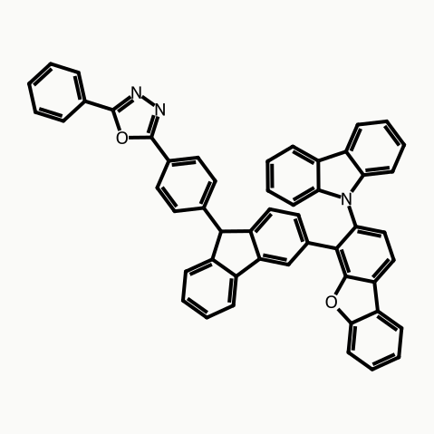 c1ccc(-c2nnc(-c3ccc(C4c5ccccc5-c5cc(-c6c(-n7c8ccccc8c8ccccc87)ccc7c6oc6ccccc67)ccc54)cc3)o2)cc1